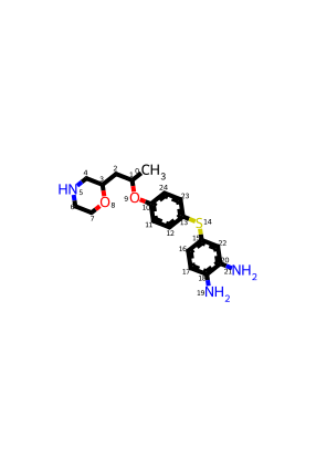 CC(CC1CNCCO1)Oc1ccc(Sc2ccc(N)c(N)c2)cc1